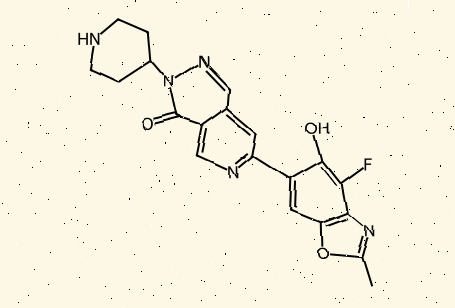 Cc1nc2c(F)c(O)c(-c3cc4cnn(C5CCNCC5)c(=O)c4cn3)cc2o1